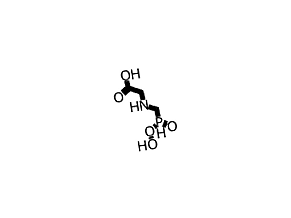 O=C(O)CNC[PH](=O)OO